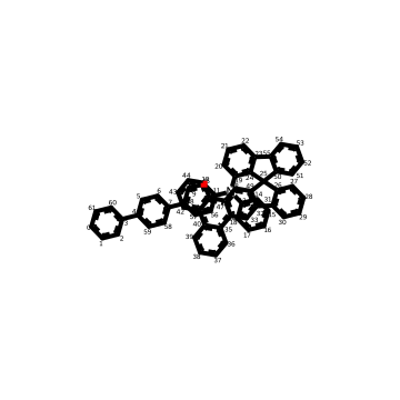 c1ccc(-c2ccc(-c3ccc(N(c4ccccc4)c4cccc5c4C4(c6ccccc6-c6cc7c8ccccc8c8ccccc8c7cc64)c4ccccc4-5)cc3)cc2)cc1